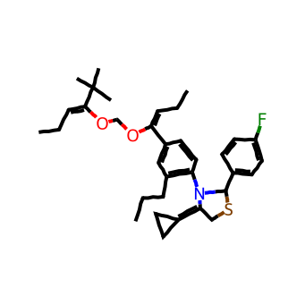 CC/C=C(\OCO/C(=C/CC)c1ccc(N2C(=C3CC3)CSC2c2ccc(F)cc2)c(CCC)c1)C(C)(C)C